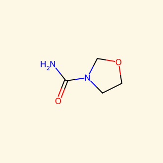 NC(=O)N1CCOC1